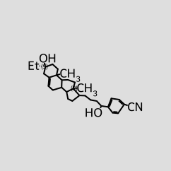 CC[C@]1(O)CCC2(C)C(=CCC3C2CC[C@]2(C)C(CCCC(O)c4ccc(C#N)cc4)CCC32)C1